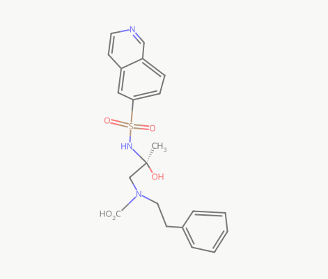 C[C@](O)(CN(CCc1ccccc1)C(=O)O)NS(=O)(=O)c1ccc2cnccc2c1